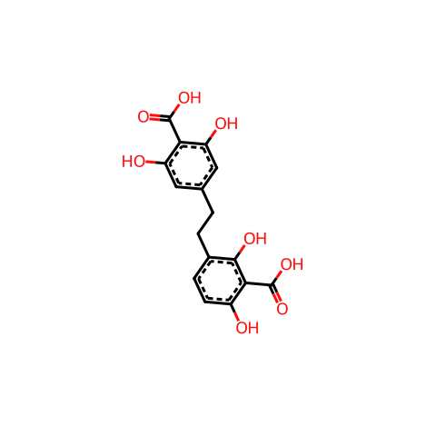 O=C(O)c1c(O)cc(CCc2ccc(O)c(C(=O)O)c2O)cc1O